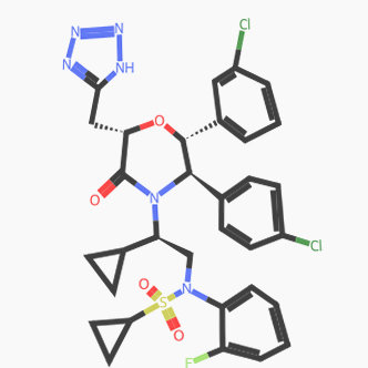 O=C1[C@H](Cc2nnn[nH]2)O[C@H](c2cccc(Cl)c2)[C@@H](c2ccc(Cl)cc2)N1[C@@H](CN(c1ccccc1F)S(=O)(=O)C1CC1)C1CC1